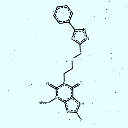 CCCCCn1c(=O)n(CCOCc2nc(-c3ccccc3)no2)c(=O)c2[nH]c(Cl)nc21